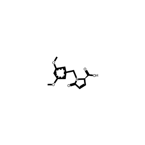 COc1cc(CN2C(=O)C=C[C@@H]2C(=O)O)cc(OC)c1